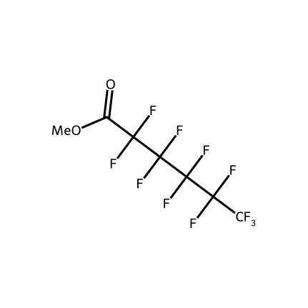 COC(=O)C(F)(F)C(F)(F)C(F)(F)C(F)(F)C(F)(F)F